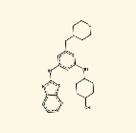 OC1CCC(Nc2cc(CN3CCOCC3)cc(Nc3nc4cccnc4s3)n2)CC1